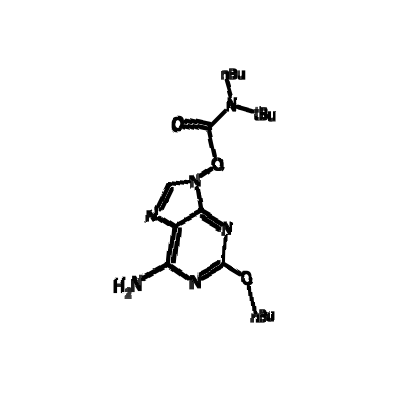 CCCCOc1nc(N)c2ncn(OC(=O)N(CCCC)C(C)(C)C)c2n1